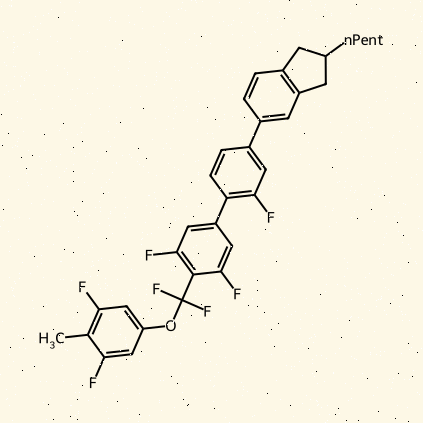 CCCCCC1Cc2ccc(-c3ccc(-c4cc(F)c(C(F)(F)Oc5cc(F)c(C)c(F)c5)c(F)c4)c(F)c3)cc2C1